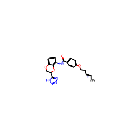 CCC/C=C/CCOc1ccc(C(=O)Nc2cccc3c2OC(c2nnn[nH]2)CO3)cc1